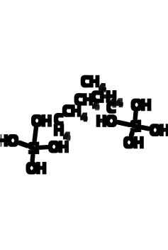 C.C.C.C.C.C.O[Si](O)(O)O.O[Si](O)(O)O